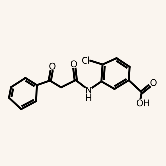 O=C(CC(=O)c1ccccc1)Nc1cc(C(=O)O)ccc1Cl